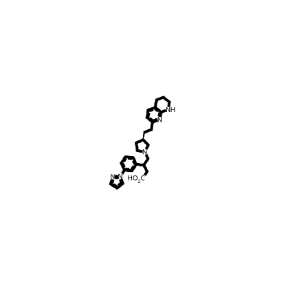 O=C(O)CC(CN1CC[C@@H](CCc2ccc3c(n2)NCCC3)C1)c1cccc(-n2cccn2)c1